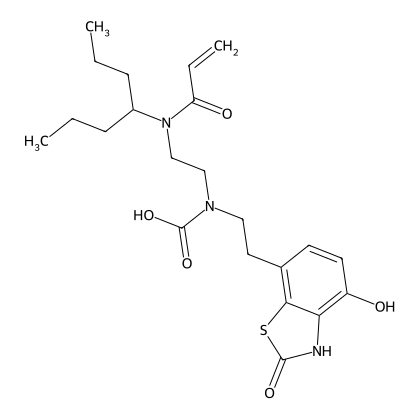 C=CC(=O)N(CCN(CCc1ccc(O)c2[nH]c(=O)sc12)C(=O)O)C(CCC)CCC